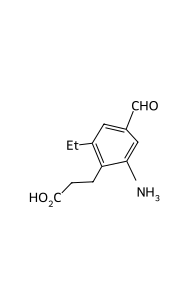 CCc1cc(C=O)cc(C)c1CCC(=O)O.N